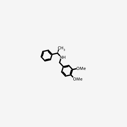 COc1ccc(CN[C@H](C)c2ccccc2)cc1OC